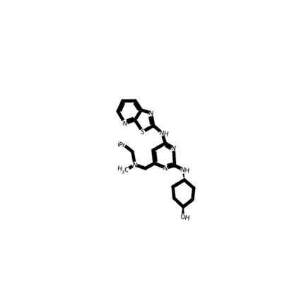 CC(C)CN(C)Cc1cc(Nc2nc3cccnc3s2)nc(N[C@H]2CC[C@H](O)CC2)n1